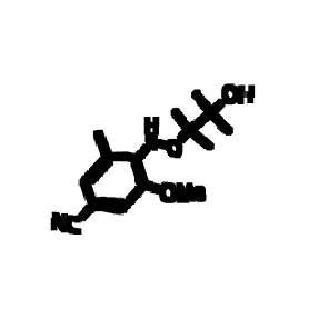 COc1cc(C#N)cc(C)c1BOC(C)(C)C(C)(C)O